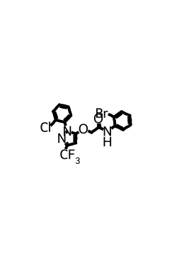 O=C(COc1cc(C(F)(F)F)nn1-c1ccccc1Cl)Nc1ccccc1Br